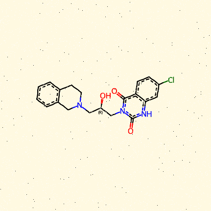 O=c1[nH]c2cc(Cl)ccc2c(=O)n1C[C@H](O)CN1CCc2ccccc2C1